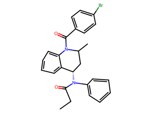 CCC(=O)N(c1ccccc1)[C@H]1CC(C)N(C(=O)c2ccc(Br)cc2)c2ccccc21